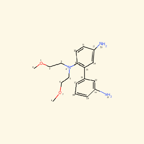 COCCN(CCOC)c1ccc(N)cc1-c1cccc(N)c1